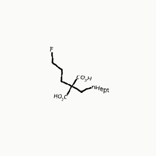 CCCCCCCCC(CCCF)(C(=O)O)C(=O)O